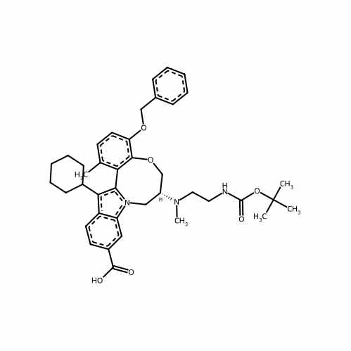 Cc1ccc(OCc2ccccc2)c2c1-c1c(C3CCCCC3)c3ccc(C(=O)O)cc3n1C[C@@H](N(C)CCNC(=O)OC(C)(C)C)CO2